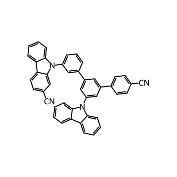 N#Cc1ccc(-c2cc(-c3cccc(-n4c5ccccc5c5ccc(C#N)cc54)c3)cc(-n3c4ccccc4c4ccccc43)c2)cc1